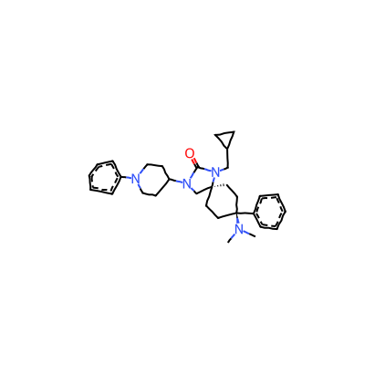 CN(C)[C@]1(c2ccccc2)CC[C@]2(CC1)CN(C1CCN(c3ccccc3)CC1)C(=O)N2CC1CC1